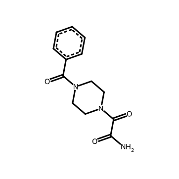 NC(=O)C(=O)N1CCN(C(=O)c2ccccc2)CC1